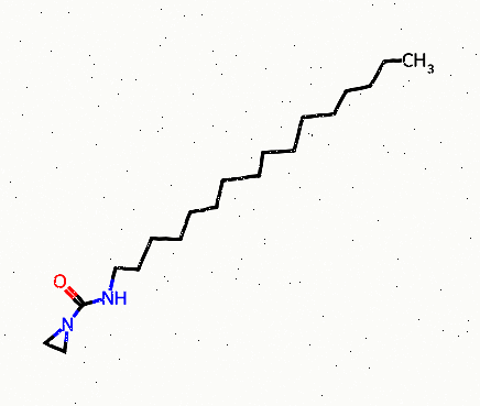 CCCCCCCCCCCCCCCCNC(=O)N1CC1